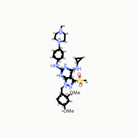 COc1ccc(Cn2nc(S(C)(=O)=O)c3c(NC4CC4)nc(Nc4ccc(N5CCN(C)CC5)cc4)nc32)c(OC)c1